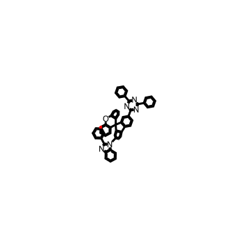 c1ccc(-c2nc(-c3ccccc3)nc(-c3ccc4c(c3)C3(c5ccccc5Oc5ccccc53)c3cc(-n5c(-c6ccccc6)nc6ccccc65)ccc3-4)n2)cc1